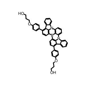 OCCCOc1ccc(-c2ccc3c4c2c2ccccc2n4-c2cccc4c2B3c2ccc(-c3ccc(OCCCO)cc3)c3c5ccccc5n-4c23)cc1